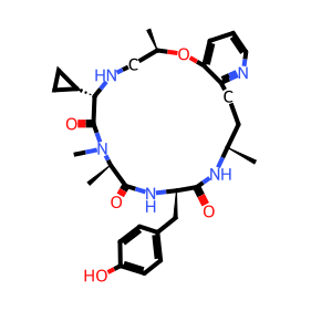 C[C@@H]1CCc2ncccc2O[C@H](C)CN[C@@H](C2CC2)C(=O)N(C)[C@H](C)C(=O)N[C@H](Cc2ccc(O)cc2)C(=O)N1